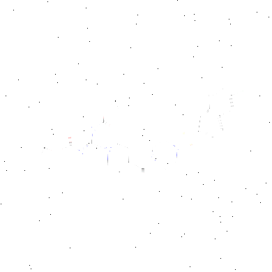 CC(C)(C)OC(=O)N=C(NC(=O)OC(C)(C)C)N1CCC(C(=O)N2CCN(S(=O)(=O)c3ccc4cc(Cl)ccc4c3)CC2)CC1